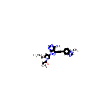 C=CC(=O)N1CC(n2nc(C#Cc3ccc4c(c3)ncn4C)c3c(N)ncnc32)C[C@@H]1COC